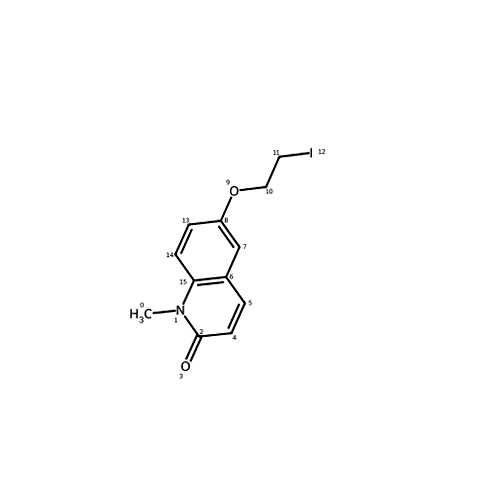 Cn1c(=O)ccc2cc(OCCI)ccc21